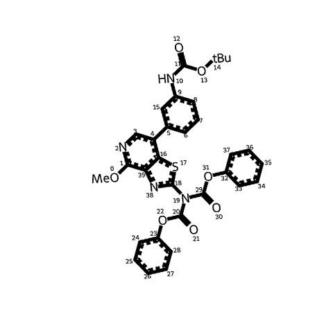 COc1ncc(-c2cccc(NC(=O)OC(C)(C)C)c2)c2sc(N(C(=O)Oc3ccccc3)C(=O)Oc3ccccc3)nc12